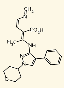 C=N/C=C\C(C(=O)O)=C(/C)Nc1nn(C2CCOCC2)cc1-c1ccccc1